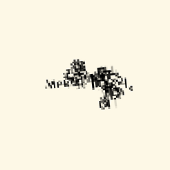 COc1cccc(C(OCCC[N+]2=c3cc/c(=C4\N(CCCO)c5ccccc5C4(C)C)cc3C(C)(C)C2)(c2ccccc2)c2ccccc2)c1